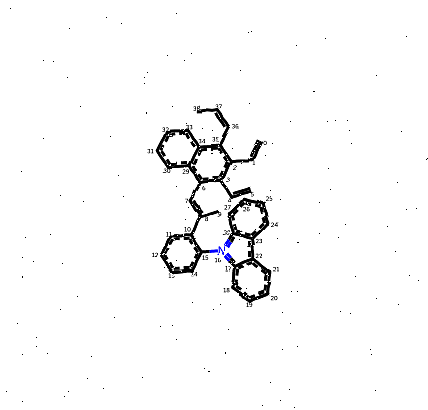 C=Cc1c(C=C)c(/C=C(\C)c2ccccc2-n2c3ccccc3c3ccccc32)c2ccccc2c1/C=C\C